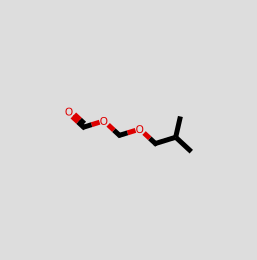 CC(C)[CH]OCO[C]=O